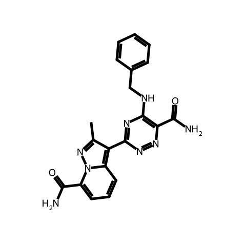 Cc1nn2c(C(N)=O)cccc2c1-c1nnc(C(N)=O)c(NCc2ccccc2)n1